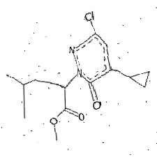 COC(=O)C(CC(C)C)n1nc(Cl)cc(C2CC2)c1=O